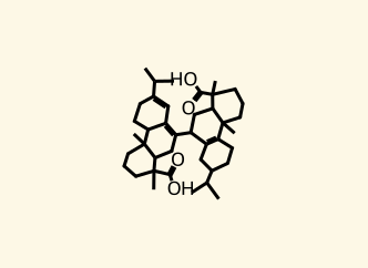 CC(C)C1=CC2=C(C3CC4C(C)(C(=O)O)CCCC4(C)C4=C3CC(C(C)C)CC4)CC3C(C)(C(=O)O)CCCC3(C)C2CC1